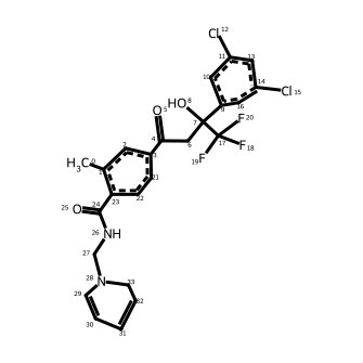 Cc1cc(C(=O)CC(O)(c2cc(Cl)cc(Cl)c2)C(F)(F)F)ccc1C(=O)NCN1C=CC=CC1